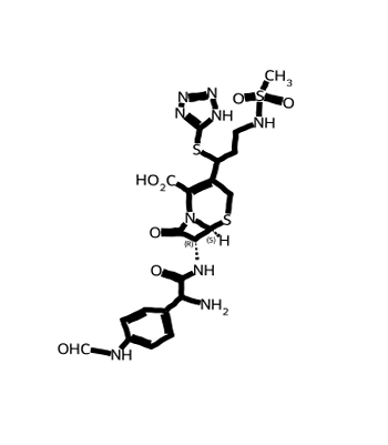 CS(=O)(=O)NCCC(Sc1nnn[nH]1)C1=C(C(=O)O)N2C(=O)[C@@H](NC(=O)C(N)c3ccc(NC=O)cc3)[C@@H]2SC1